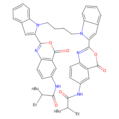 CCCCC(CC)C(=O)Nc1ccc2nc(-c3cc4ccccc4n3CCCCn3c(-c4nc5ccc(NC(=O)C(CC)CCCC)cc5c(=O)o4)cc4ccccc43)oc(=O)c2c1